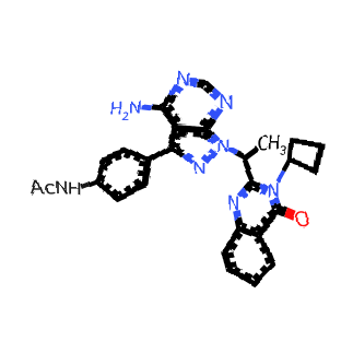 CC(=O)Nc1ccc(-c2nn(C(C)c3nc4ccccc4c(=O)n3C3CCC3)c3ncnc(N)c23)cc1